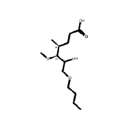 CCCCOCC(O)[C@@H](OC)[C@@H](C)CCC(=O)O